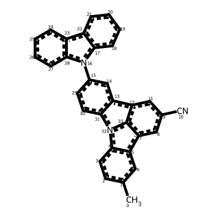 Cc1ccc2c(c1)c1cc(C#N)cc3c4cc(-n5c6ccccc6c6ccccc65)ccc4n2c13